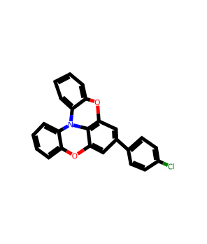 Clc1ccc(-c2cc3c4c(c2)Oc2ccccc2N4c2ccccc2O3)cc1